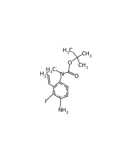 C=Cc1c(N(C)C(=O)OC(C)(C)C)ccc(N)c1I